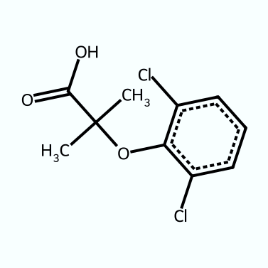 CC(C)(Oc1c(Cl)cccc1Cl)C(=O)O